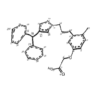 Cc1ccc(OCC(=O)O)cc1/C=C/Cn1cc(C(c2ccccc2)c2ccccc2)cn1